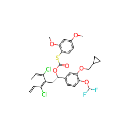 C=C/C(Cl)=C(C[C@H](OC(=O)Sc1ccc(OC)cc1OC)c1ccc(OC(F)F)c(OCC2CC2)c1)\C(Cl)=C/C